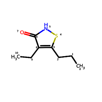 CCCc1s[nH]c(=O)c1CC